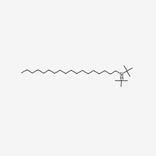 CCCCCCCCCCCCCCCCCC[SiH](C(C)(C)C)C(C)(C)C